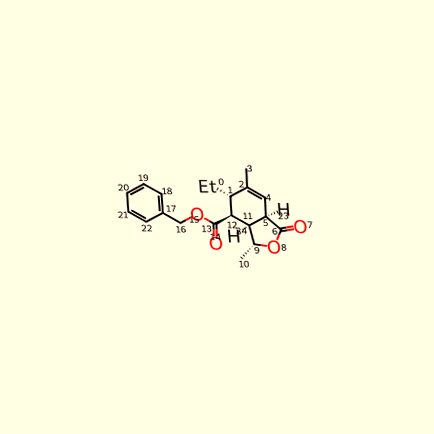 CC[C@@H]1C(C)=C[C@H]2C(=O)O[C@H](C)[C@H]2[C@H]1C(=O)OCc1ccccc1